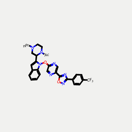 CCCN1CCN(C(C)=O)C(c2cc3ccccc3n2Oc2cnc(-c3nc(-c4ccc(C(F)(F)F)cc4)no3)cn2)C1